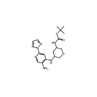 CC(C)(C)OC(=O)NC1COCC(Nc2cc(-n3nccn3)ncc2N)C1